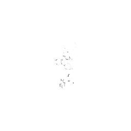 COC(=O)C(CCSC)NC(=O)c1ccc(C#CC(=O)c2c[nH]cn2)cc1-c1ccccc1